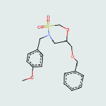 COc1ccc(CN2CC(COCc3ccccc3)OCS2(=O)=O)cc1